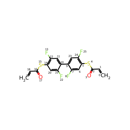 C=CC(=O)Sc1cc(F)c(-c2cc(F)c(SC(=O)C=C)cc2F)cc1F